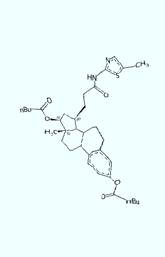 CCCCC(=O)Oc1ccc2c(c1)CCC1C2CC[C@@]2(C)C1[C@H](CCC(=O)Nc1ncc(C)s1)C[C@@H]2OC(=O)CCCC